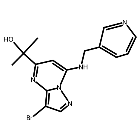 CC(C)(O)c1cc(NCc2cccnc2)n2ncc(Br)c2n1